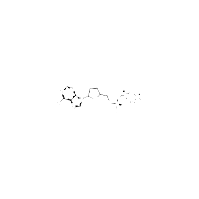 Nc1ncnc2c1ncn2C1CCC(COP(=O)(S)OP(=O)(O)OP(=O)(O)O)O1